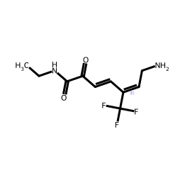 CCNC(=O)C(=O)C=C/C(=C\CN)C(F)(F)F